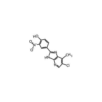 Cc1c(Cl)cnc2[nH]c(-c3ccc(O)c([N+](=O)[O-])c3)nc12